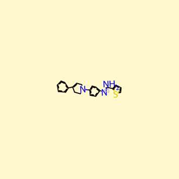 N/C(=N\c1ccc(N2CC=C(c3ccccc3)CC2)cc1)c1cccs1